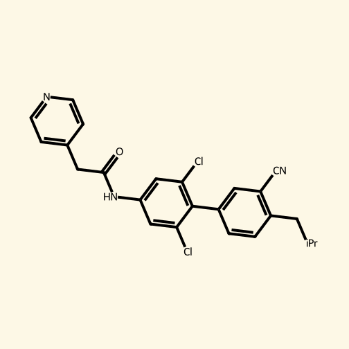 CC(C)Cc1ccc(-c2c(Cl)cc(NC(=O)Cc3ccncc3)cc2Cl)cc1C#N